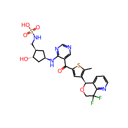 Cc1sc(C(=O)c2cncnc2N[C@H]2C[C@H](O)[C@@H]([CH]NS(=O)(=O)O)C2)cc1[C@@H]1OCC(F)(F)c2ncccc21